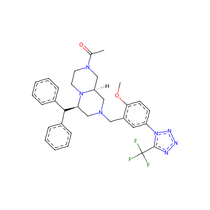 COc1ccc(-n2nnnc2C(F)(F)F)cc1CN1C[C@@H]2CN(C(C)=O)CCN2[C@H](C(c2ccccc2)c2ccccc2)C1